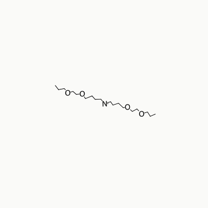 CCCOCCOCCCC[N]CCCCOCCOCCC